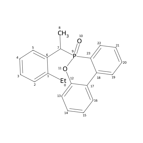 CCc1ccccc1C(C)P1(=O)Oc2ccccc2-c2ccccc21